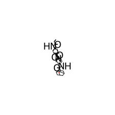 C=CC(=O)Nc1ccc(S(=O)(=O)N2CCC(NC(=O)C34CC5CC(CC(C5)C3)C4)CC2)cc1